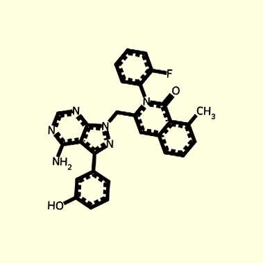 Cc1cccc2cc(Cn3nc(-c4cccc(O)c4)c4c(N)ncnc43)n(-c3ccccc3F)c(=O)c12